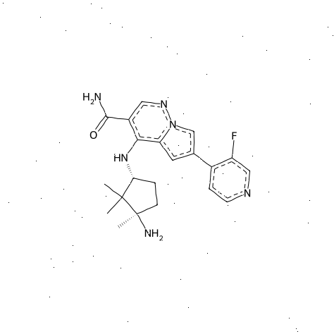 CC1(C)[C@H](Nc2c(C(N)=O)cnn3cc(-c4ccncc4F)cc23)CC[C@@]1(C)N